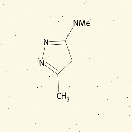 CNC1=NN=C(C)C1